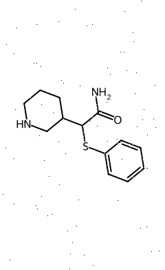 NC(=O)C(Sc1cc[c]cc1)C1CCCNC1